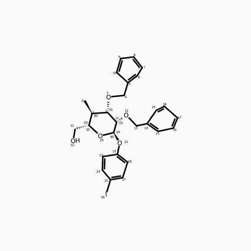 C[C@H]1[C@H](OCc2ccccc2)[C@H](OCc2ccccc2)[C@@H](Oc2ccc(I)cc2)O[C@@H]1CO